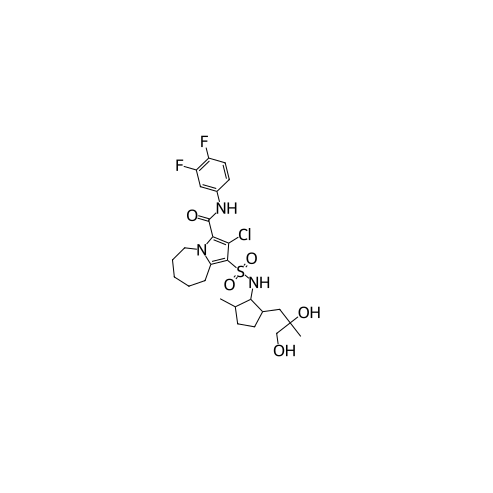 CC1CCC(CC(C)(O)CO)C1NS(=O)(=O)c1c(Cl)c(C(=O)Nc2ccc(F)c(F)c2)n2c1CCCCC2